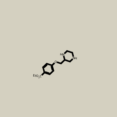 CCOC(=O)c1ccc(OCC2CNCCN2)cc1